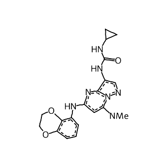 CNc1cc(Nc2cccc3c2OCCO3)nc2c(NC(=O)NC3CC3)cnn12